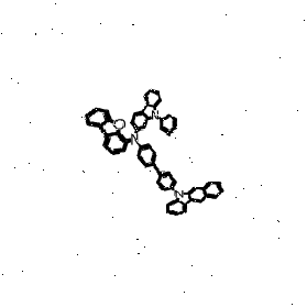 c1ccc(-n2c3ccccc3c3ccc(N(c4ccc(-c5ccc(-n6c7ccccc7c7cc8ccccc8cc76)cc5)cc4)c4cccc5c4oc4ccccc45)cc32)cc1